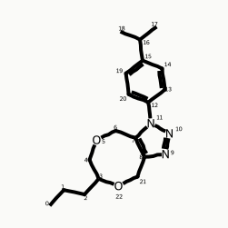 CCCC1COCc2c(nnn2-c2ccc(C(C)C)cc2)CO1